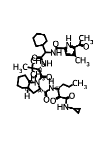 CCC[C@H](NC(=O)[C@@H]1C[C@@H]2CCCC[C@@H]2N1C(=O)[C@@H](NC(=O)C(NC(=O)c1cc(C)c(C(C)=O)[nH]1)C1CCCCC1)C(C)(C)C)C(=O)C(=O)NC1CC1